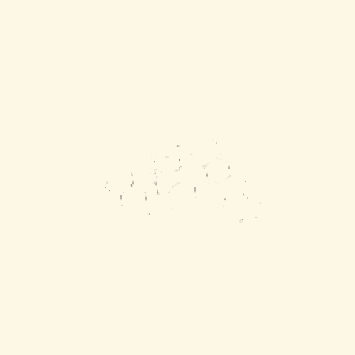 CN(C)c1cc(CN2CCCC2)c(O)c2c1C[C@H]1C[C@H]3CC(O)=C(C(N)=O)C(=O)[C@@]3(O)C(O)=C1C2=O